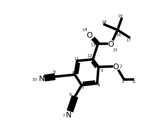 CCOc1cc(C#N)c(C#N)cc1C(=O)OC(C)(C)C